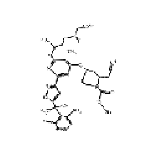 C#CC[C@@H]1C[C@@H](Oc2cc(O[C@@H](C)[C@@H](C)C[C@H](F)CNC)nc(-c3cc(C(C)(C)c4c(F)cccc4P)on3)n2)CCN1C(=O)OC(C)(C)C